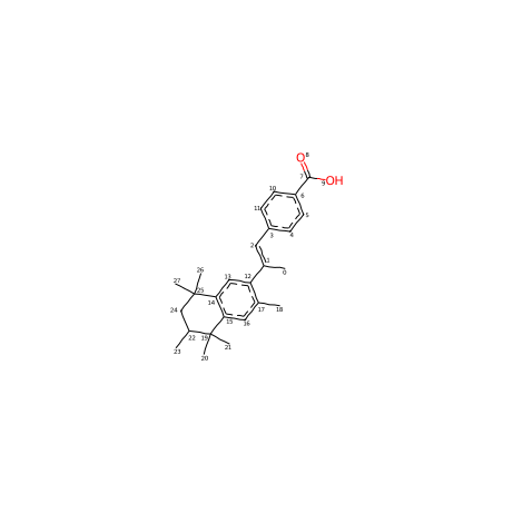 C/C(=C\c1ccc(C(=O)O)cc1)c1cc2c(cc1C)C(C)(C)C(C)CC2(C)C